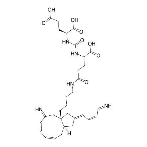 N=C/C=C\C=C1/C[C@H]2C/C=C\C=C/C(=N)C[C@]2(CCCCNC(=O)CC[C@H](NC(=O)N[C@@H](CCC(=O)O)C(=O)O)C(=O)O)C1